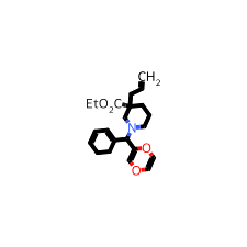 C=CCC1(C(=O)OCC)CCCN(C(C2=CC=CCC2)C2=COC=CO2)C1